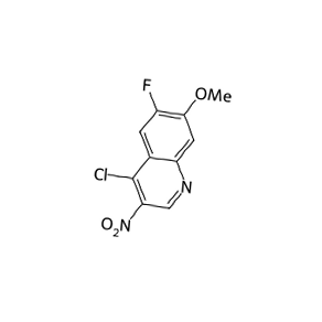 COc1cc2ncc([N+](=O)[O-])c(Cl)c2cc1F